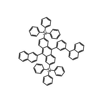 c1ccc([Si](c2ccccc2)(c2ccccc2)c2ccc3c(-c4ccc5ccccc5c4)c4cc([Si](c5ccccc5)(c5ccccc5)c5ccccc5)ccc4c(-c4cccc(-c5cccc6ccccc56)c4)c3c2)cc1